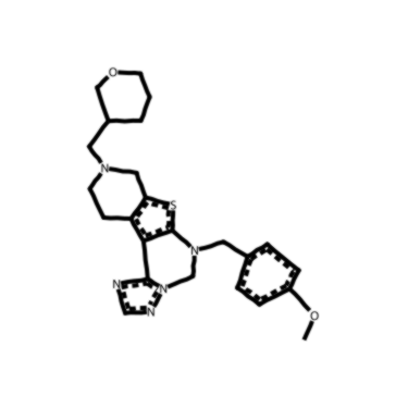 COc1ccc(CN2Cn3ncnc3-c3c2sc2c3CCN(CC3CCCOC3)C2)cc1